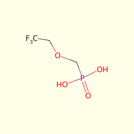 O=P(O)(O)COCC(F)(F)F